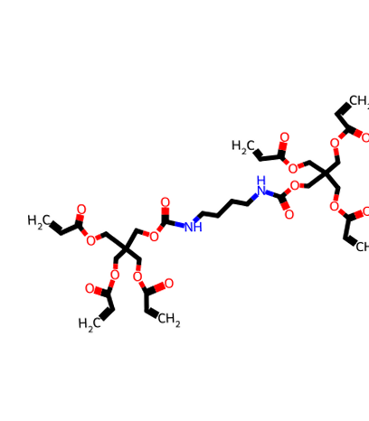 C=CC(=O)OCC(COC(=O)C=C)(COC(=O)C=C)COC(=O)NCCCCNC(=O)OCC(COC(=O)C=C)(COC(=O)C=C)COC(=O)C=C